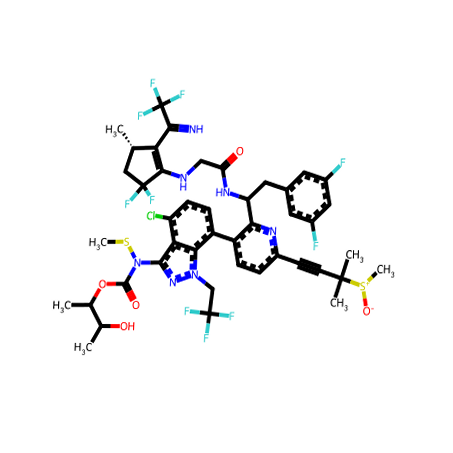 CSN(C(=O)OC(C)C(C)O)c1nn(CC(F)(F)F)c2c(-c3ccc(C#CC(C)(C)[S+](C)[O-])nc3C(Cc3cc(F)cc(F)c3)NC(=O)CNC3=C(C(=N)C(F)(F)F)[C@@H](C)CC3(F)F)ccc(Cl)c12